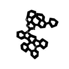 c1ccc(-c2ccc(-c3nc(-n4c5ccccc5c5c6c7c(cc54)c4ccccc4n7-c4ccccc4-c4ccccc4-6)nc4oc5ccccc5c34)c3ccccc23)cc1